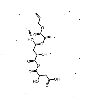 C=C.C=CCOC(=O)C(=C)C.O=C(O)CC(O)C(=O)OC(=O)C(O)CC(=O)O